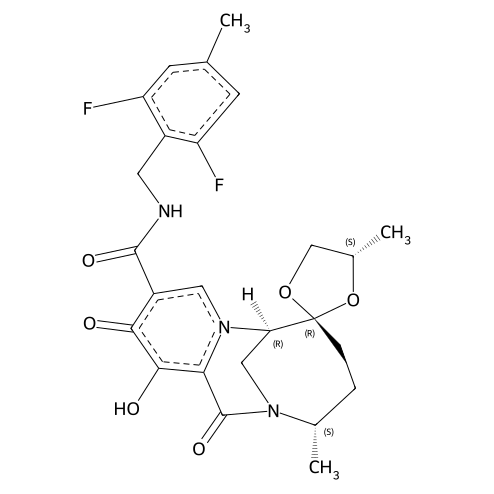 Cc1cc(F)c(CNC(=O)c2cn3c(c(O)c2=O)C(=O)N2C[C@@H]3[C@]3(CC[C@@H]2C)OC[C@H](C)O3)c(F)c1